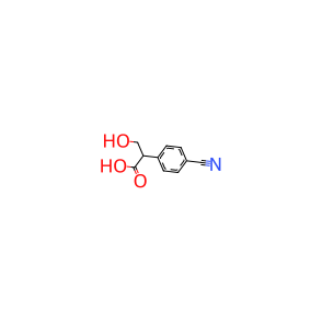 N#Cc1ccc(C(CO)C(=O)O)cc1